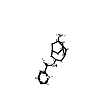 CNC12CC3CC(NC(=O)c4ccccn4)CC(C1)C(C3)C2